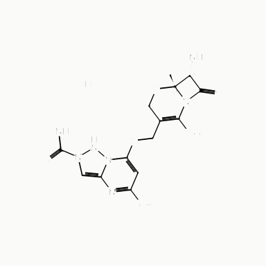 CC1=NC2=CN(C(N)=O)NN2C(SCC2=C(C(=O)O)N3C(=O)[C@@H](N)[C@H]3SC2)=C1.Cl